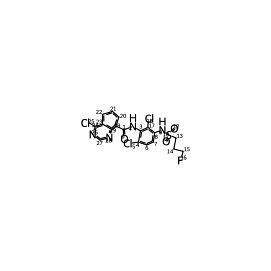 O=C(Nc1c(Cl)ccc(NS(=O)(=O)CCCF)c1Cl)c1cccc2c(Cl)ncnc12